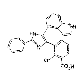 O=C(O)c1cccc(-c2nc(-c3ccccc3)[nH]c2-c2ccnc3[nH]ccc23)c1Cl